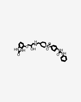 O=C(Nc1ccccc1)Nc1ccc(S(=O)(=O)N2CCC(CNCC(O)COc3cccc4[nH]c(=O)[nH]c34)CC2)cc1